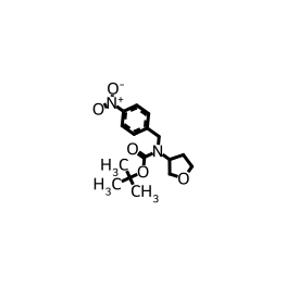 CC(C)(C)OC(=O)N(Cc1ccc([N+](=O)[O-])cc1)C1CCOC1